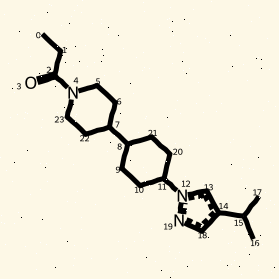 CCC(=O)N1CCC(C2CCC(n3cc(C(C)C)cn3)CC2)CC1